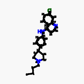 CCCCN1CCC(c2ccc(Nc3ccnc4cc(Cl)ccc34)cc2)CC1